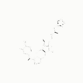 C[C@@H](NC(=O)Cn1cnnn1)[C@H]1C(=O)N2C(C(=O)O)=C(SC3CNC(C(=O)N4CCC(N)C(F)C4)C3)[C@H](C)[C@H]12